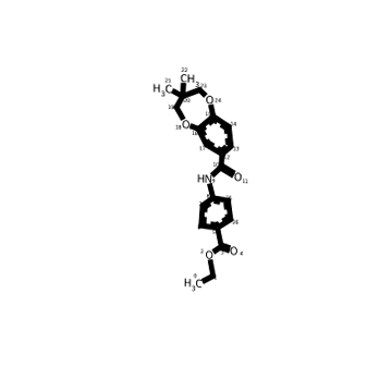 CCOC(=O)c1ccc(NC(=O)c2ccc3c(c2)OCC(C)(C)CO3)cc1